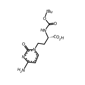 CC(C)(C)OC(=O)N[C@@H](CCn1ccc(N)nc1=O)C(=O)O